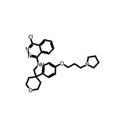 Clc1nnc(NCC2(c3ccc(OCCCN4CCCC4)cc3)CCOCC2)c2ccccc12